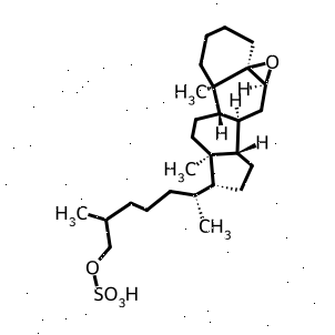 CC(CCC[C@@H](C)[C@H]1CC[C@H]2[C@@H]3C[C@@H]4O[C@@]45CCCC[C@]5(C)[C@H]3CC[C@]12C)COS(=O)(=O)O